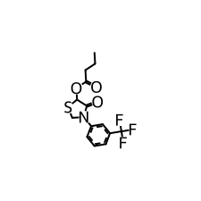 CCCC(=O)OC1SCN(c2cccc(C(F)(F)F)c2)C1=O